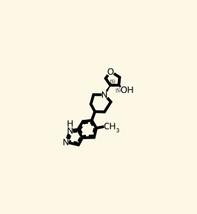 Cc1cc2cn[nH]c2cc1C1CCN([C@H]2COC[C@H]2O)CC1